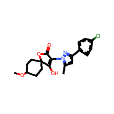 COC1CCC2(CC1)OC(=O)C(n1nc(-c3ccc(Cl)cc3)cc1C)=C2O